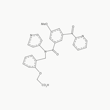 COc1cc(C(=O)c2ccccn2)cc(C(=O)N(Cc2ccccc2OCC(=O)O)c2ccncc2)c1